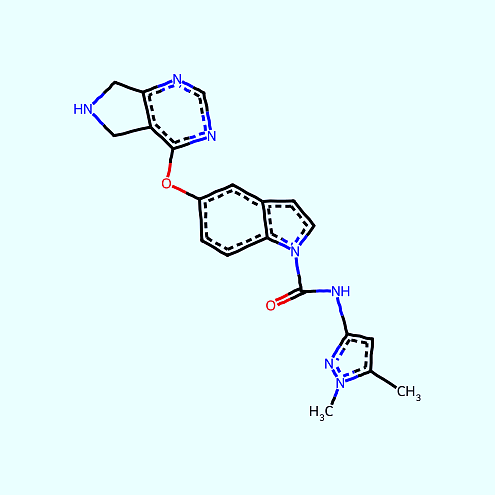 Cc1cc(NC(=O)n2ccc3cc(Oc4ncnc5c4CNC5)ccc32)nn1C